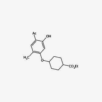 CCOC(=O)C1CCC(Oc2cc(O)c(C(C)=O)cc2C)CC1